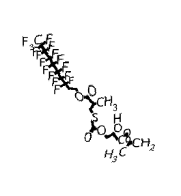 C=[C](C)[Co](=[O])[CH2]C(O)COC(=O)CSCC(C)C(=O)OCCC(F)(F)C(F)(F)C(F)(F)C(F)(F)C(F)(F)C(F)(F)C(F)(F)C(F)(F)F